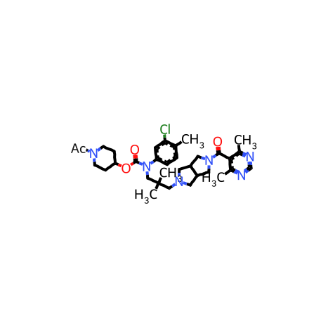 CC(=O)N1CCC(OC(=O)N(CC(C)(C)CN2CC3CN(C(=O)c4c(C)ncnc4C)CC3C2)c2ccc(C)c(Cl)c2)CC1